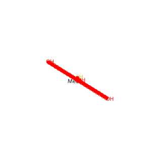 CSC(C(CO)OCCOCCOCCOCCOCCOCCOCCOCCOCCOCCOCCOCCOCCOCCOCCOCCOCCOCCOCCO)C(COCCS)OCCOCCOCCOCCOCCOCCOCCOCCOCCOCCOCCOCCOCCOCCOCCOCCOCCOCCOCCO